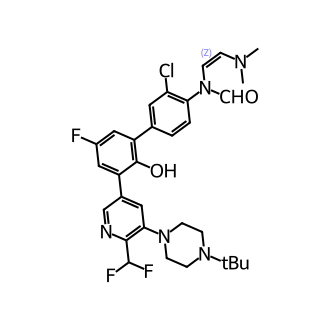 CN(C)/C=C\N(C=O)c1ccc(-c2cc(F)cc(-c3cnc(C(F)F)c(N4CCN(C(C)(C)C)CC4)c3)c2O)cc1Cl